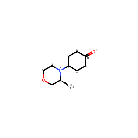 C[C@H]1COCCN1C1CCC(=O)CC1